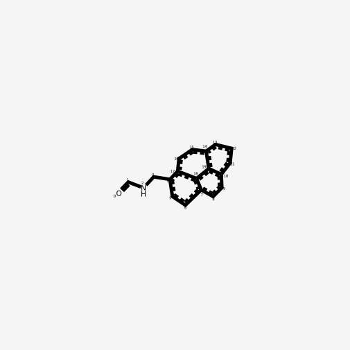 O=CNCc1ccc2ccc3cccc4ccc1c2c34